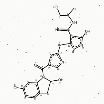 CC(CO)NC(=N)c1c(O)nsc1Nc1ncc(C(=O)N2c3cc(Cl)ccc3CC2O)s1